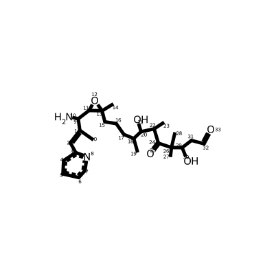 C/C(=C\c1ccccn1)C(N)C1OC1(C)CCCC(C)C(O)C(C)C(=O)C(C)(C)C(O)CC=O